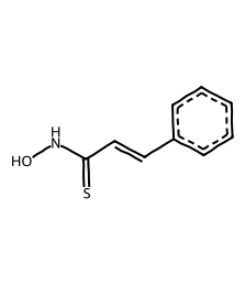 ONC(=S)C=Cc1ccccc1